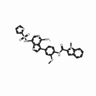 COc1cc(-c2csc3c(NS(=O)(=O)c4cccs4)cnc(N)c23)ccc1NC(=O)c1cc2ccccc2n1C